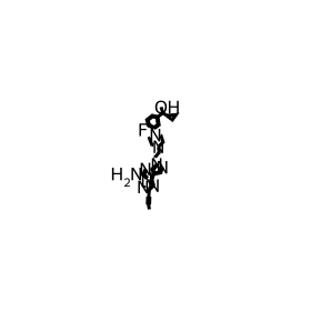 CC#Cc1nc2c3cnn(CCN4CCN(c5cc(C(O)C6CC6)ccc5F)CC4)c3nc(N)n2n1